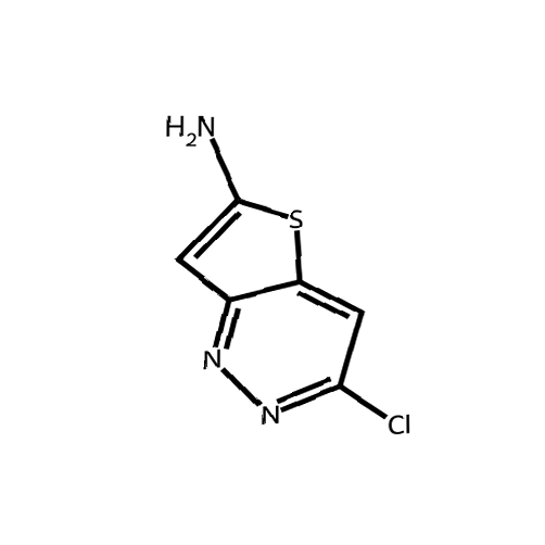 Nc1cc2nnc(Cl)cc2s1